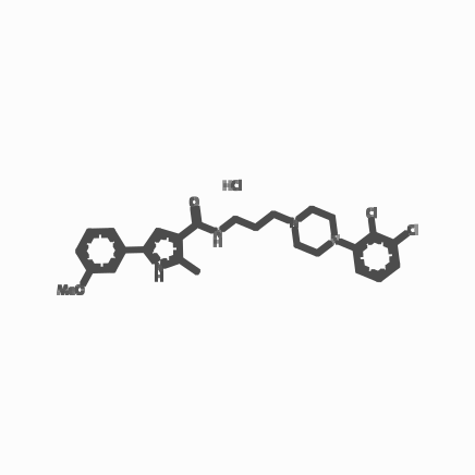 COc1cccc(-c2cc(C(=O)NCCCN3CCN(c4cccc(Cl)c4Cl)CC3)c(C)[nH]2)c1.Cl